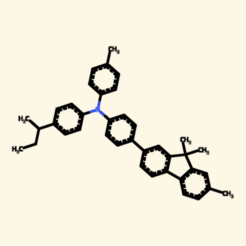 CCC(C)c1ccc(N(c2ccc(C)cc2)c2ccc(-c3ccc4c(c3)C(C)(C)c3cc(C)ccc3-4)cc2)cc1